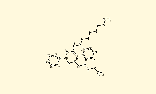 CCCCCCCC(OC(=O)OC(CCCCCCC)c1ccccc1)c1ccccc1